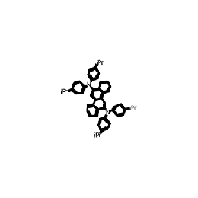 CC(C)c1ccc(N(c2ccc(C(C)C)cc2)c2cc3c4ccccc4c(N(c4ccc(C(C)C)cc4)c4ccc(C(C)C)cc4)cc3c3ccccc23)cc1